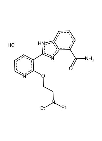 CCN(CC)CCOc1ncccc1-c1nc2c(C(N)=O)cccc2[nH]1.Cl